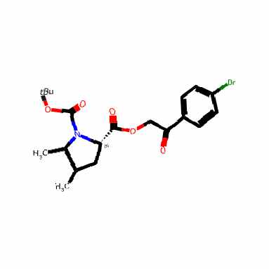 CC1C[C@@H](C(=O)OCC(=O)c2ccc(Br)cc2)N(C(=O)OC(C)(C)C)C1C